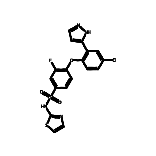 O=S(=O)(Nc1nccs1)c1ccc(Oc2ccc(Cl)cc2-c2ccn[nH]2)c(F)c1